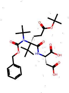 CC(C)(C)OC(=O)CC[C@@](C(=O)N[C@@H](CC(=O)O)C(=O)O)(N(C(=O)OCc1ccccc1)C(C)(C)C)C(C)(C)C